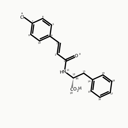 O=C(C=Cc1ccc(Cl)cc1)N[C@H](Cc1ccccc1)C(=O)O